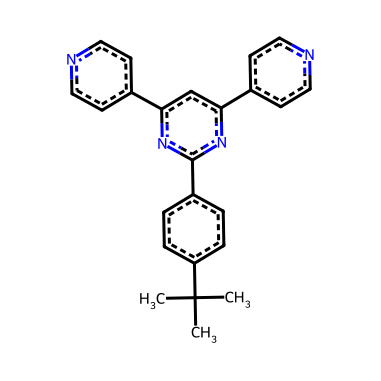 CC(C)(C)c1ccc(-c2nc(-c3ccncc3)cc(-c3ccncc3)n2)cc1